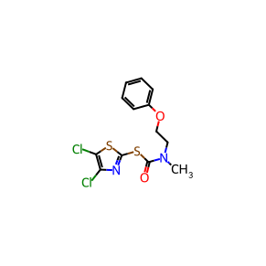 CN(CCOc1ccccc1)C(=O)Sc1nc(Cl)c(Cl)s1